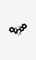 Nc1cc2ccccc2nc1-c1ccc2ccccc2n1